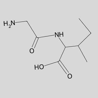 CCC(C)C(NC(=O)CN)C(=O)O